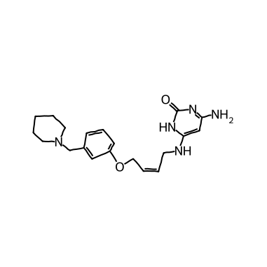 Nc1cc(NC/C=C\COc2cccc(CN3CCCCC3)c2)[nH]c(=O)n1